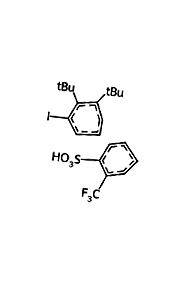 CC(C)(C)c1cccc(I)c1C(C)(C)C.O=S(=O)(O)c1ccccc1C(F)(F)F